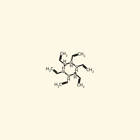 C=C[SiH]1[SiH](C=C)[SiH](C=C)[SiH](C=C)[SiH](C=C)[SiH]1C=C